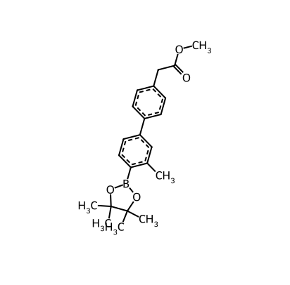 COC(=O)Cc1ccc(-c2ccc(B3OC(C)(C)C(C)(C)O3)c(C)c2)cc1